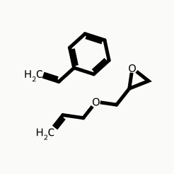 C=CCOCC1CO1.C=Cc1ccccc1